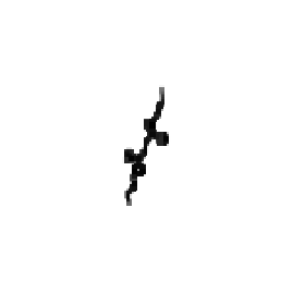 CCCCOC(=O)CCC(=S)OCCCC